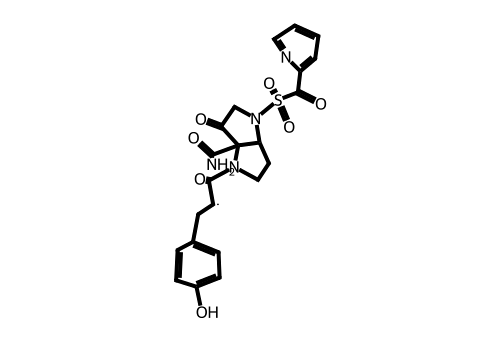 NC(=O)C12C(=O)CN(S(=O)(=O)C(=O)c3ccccn3)C1CCN2C(=O)[CH]Cc1ccc(O)cc1